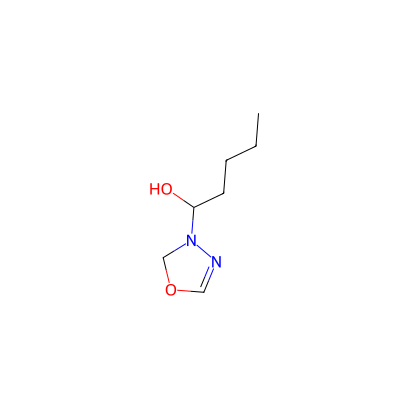 CCCCC(O)N1COC=N1